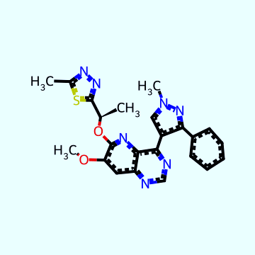 COc1cc2ncnc(-c3cn(C)nc3-c3ccccc3)c2nc1O[C@H](C)c1nnc(C)s1